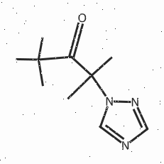 CC(C)(C)C(=O)C(C)(C)n1cncn1